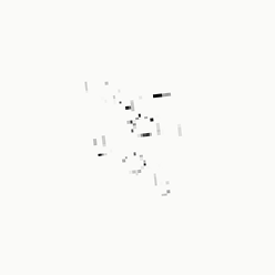 CC#CCn1c(N2CCNCC2)nc2nc(Oc3ccccc3C(=O)N3CCCC3)n(C)c(=O)c21.O=C(O)C(F)(F)F